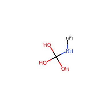 CCCNC(O)(O)O